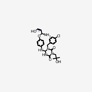 CC(C)(O)CN1C(=O)NC(Nc2ccc(OC(N)/C=C\O)cc2)N(Cc2ccc(Cl)cc2)C1=O